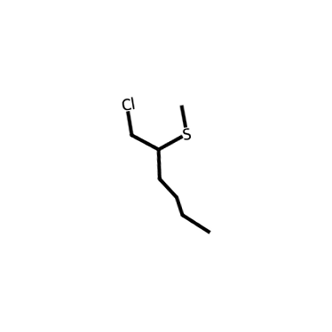 CCCCC(CCl)SC